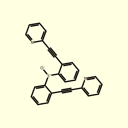 [O-][S+](c1ccccc1C#Cc1ccccn1)c1ccccc1C#Cc1ccccn1